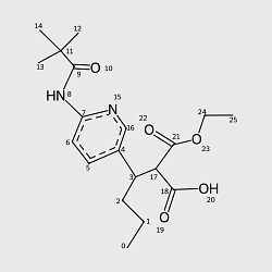 CCCC(c1ccc(NC(=O)C(C)(C)C)nc1)C(C(=O)O)C(=O)OCC